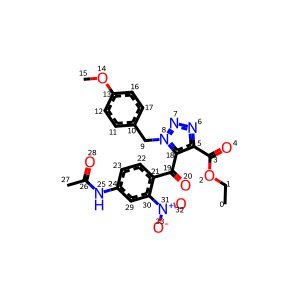 CCOC(=O)c1nnn(Cc2ccc(OC)cc2)c1C(=O)c1ccc(NC(C)=O)cc1[N+](=O)[O-]